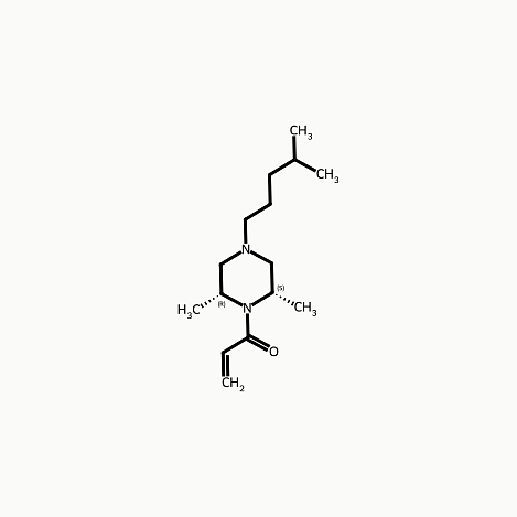 C=CC(=O)N1[C@H](C)CN(CCCC(C)C)C[C@@H]1C